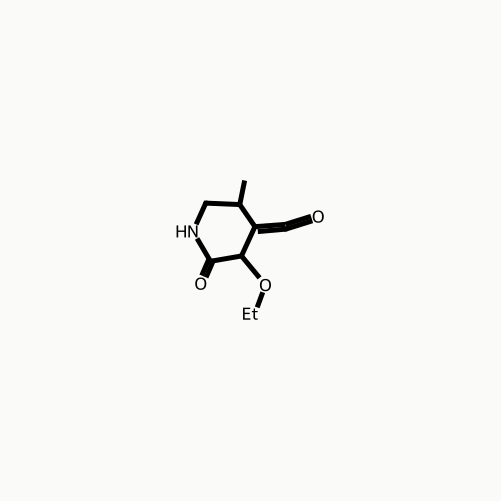 CCOC1C(=O)NCC(C)C1=C=O